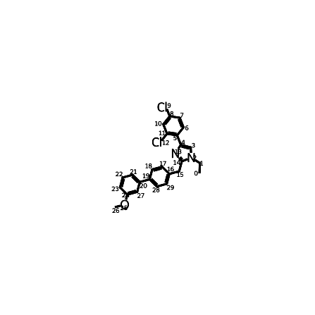 CCn1cc(-c2ccc(Cl)cc2Cl)nc1Cc1ccc(-c2cccc(OC)c2)cc1